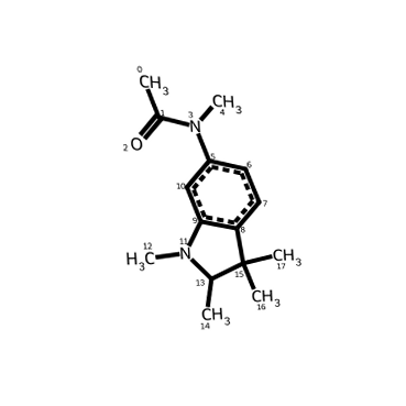 CC(=O)N(C)c1ccc2c(c1)N(C)C(C)C2(C)C